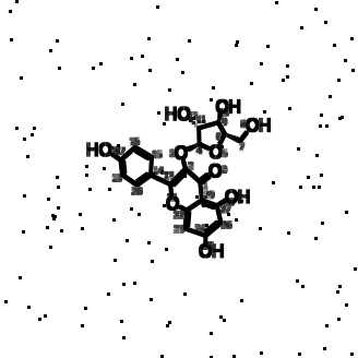 O=c1c(O[C@@H]2O[C@H](CO)[C@H](O)[C@H]2O)c(-c2ccc(O)cc2)oc2cc(O)cc(O)c12